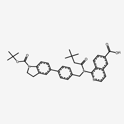 CC(C)(C)CC(=O)N(Cc1ccc(-c2ccc3c(c2)CCN3C(=O)OC(C)(C)C)cc1)c1nccc2cc(C(=O)O)ccc12